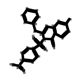 Cc1ccc2c(=O)n(S(=O)(=O)c3ccc([N+](=O)[O-])cc3)c(Cc3ccccc3)cc2c1